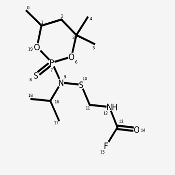 CC1CC(C)(C)OP(=S)(N(SCNC(=O)F)C(C)C)O1